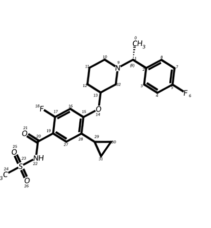 C[C@H](c1ccc(F)cc1)N1CCCC(Oc2cc(F)c(C(=O)NS(C)(=O)=O)cc2C2CC2)C1